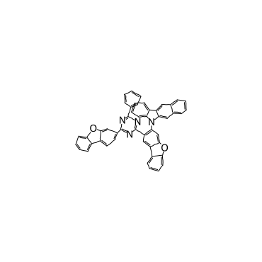 c1ccc(-c2nc(-c3ccc4c(c3)oc3ccccc34)nc(-c3cc4c(cc3-n3c5ccccc5c5cc6ccccc6cc53)oc3ccccc34)n2)cc1